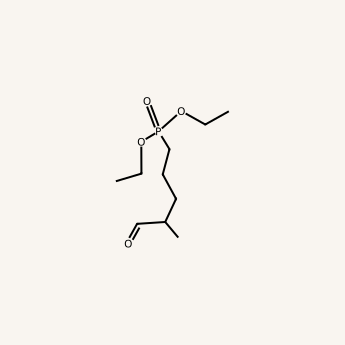 CCOP(=O)(CCCC(C)C=O)OCC